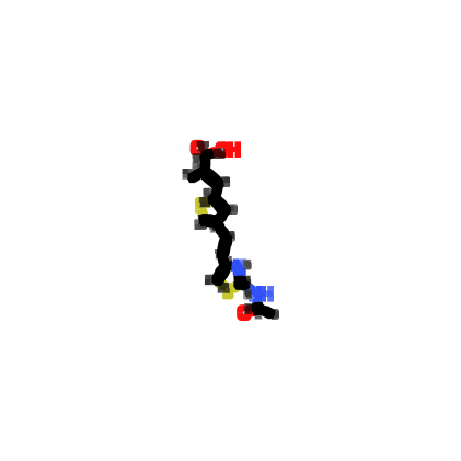 CC(=O)Nc1nc(C=Cc2csc(/C=C(\C)C(=O)O)c2)cs1